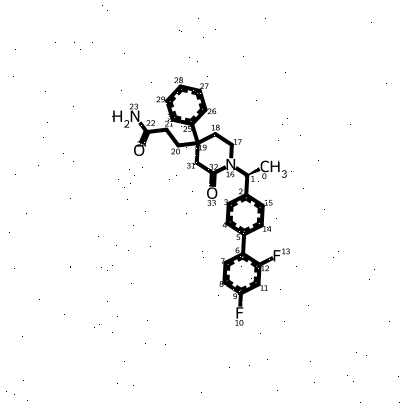 C[C@@H](c1ccc(-c2ccc(F)cc2F)cc1)N1CCC(CCC(N)=O)(c2ccccc2)CC1=O